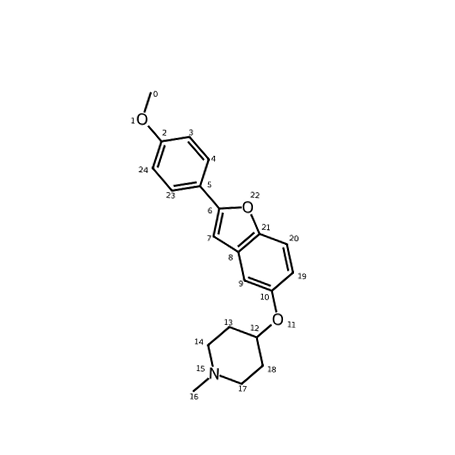 COc1ccc(-c2cc3cc(OC4CCN(C)CC4)ccc3o2)cc1